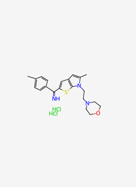 Cc1ccc(C(=N)c2cc3cc(C)n(CCN4CCOCC4)c3s2)cc1.Cl.Cl